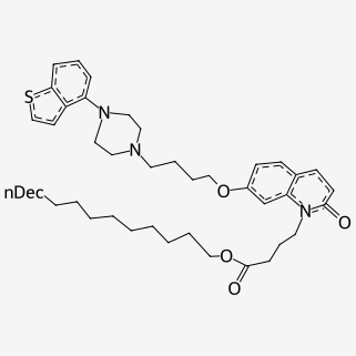 CCCCCCCCCCCCCCCCCCCOC(=O)CCCn1c(=O)ccc2ccc(OCCCCN3CCN(c4cccc5sccc45)CC3)cc21